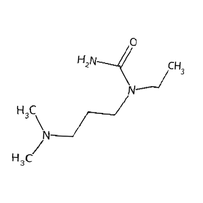 CCN(CCCN(C)C)C(N)=O